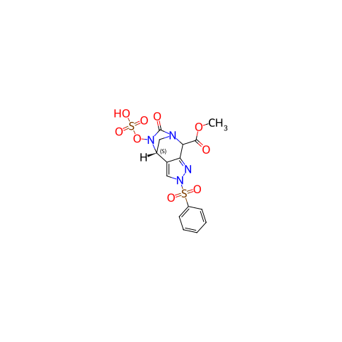 COC(=O)C1c2nn(S(=O)(=O)c3ccccc3)cc2[C@H]2CN1C(=O)N2OS(=O)(=O)O